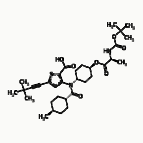 C[C@H](NC(=O)OC(C)(C)C)C(=O)O[C@H]1CC[C@H](N(c2cc(C#CC(C)(C)C)sc2C(=O)O)C(=O)[C@H]2CC[C@H](C)CC2)CC1